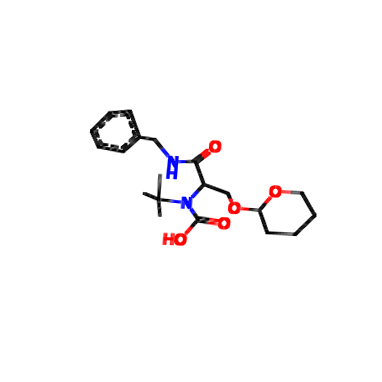 CC(C)(C)N(C(=O)O)C(COC1CCCCO1)C(=O)NCc1ccccc1